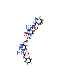 O=C(Cc1ccccc1)Nc1ccc(CCCCn2ccc(NC(=O)NC3CCCCC3)nc2=O)nn1